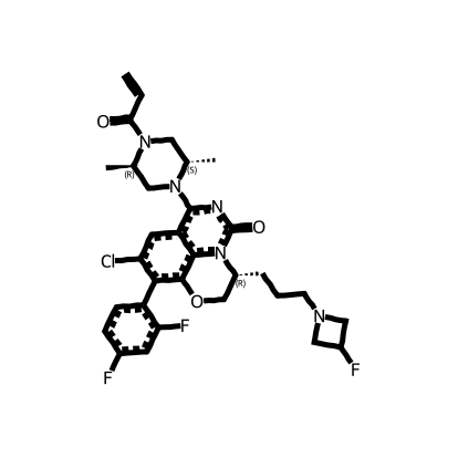 C=CC(=O)N1C[C@H](C)N(c2nc(=O)n3c4c(c(-c5ccc(F)cc5F)c(Cl)cc24)OC[C@H]3CCCN2CC(F)C2)C[C@H]1C